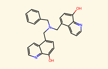 Oc1ccc(CN(Cc2ccccc2)Cc2ccc(O)c3ncccc23)c2cccnc12